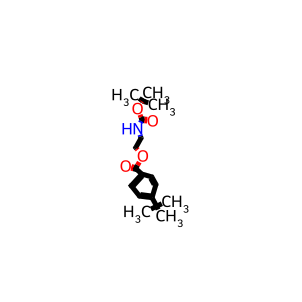 CC(C)(C)OC(=O)NCCOC(=O)c1ccc(C(C)(C)C)cc1